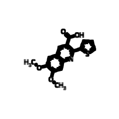 COc1cc2cc(C(=O)O)c(-c3cccs3)nc2cc1OC